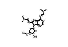 CN(C)C=Nc1ncnc2c1nc(N=CN(C)C)n2[C@H]1C[C@H](O)[C@@H](CO)O1